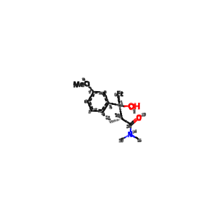 CC[C@](O)(c1cccc(OC)c1)[C@@H](C)C(=O)N(C)C